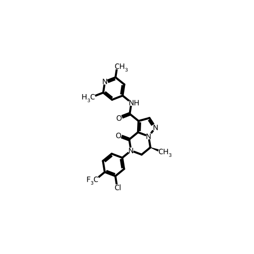 Cc1cc(NC(=O)c2cnn3c2C(=O)N(c2ccc(C(F)(F)F)c(Cl)c2)C[C@@H]3C)cc(C)n1